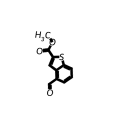 COC(=O)c1cc2c(C=O)cccc2s1